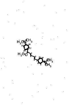 COC(C=CC=Cc1ccc(N(C)C)cc1)c1ccc(N(C)C)cc1